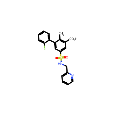 Cc1c(C(=O)O)cc(S(=O)(=O)NCc2ccccn2)cc1-c1ccccc1F